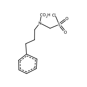 O=C(O)N(CCCc1ccccc1)CS(=O)(=O)Cl